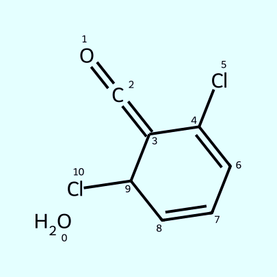 O.O=C=C1C(Cl)=CC=CC1Cl